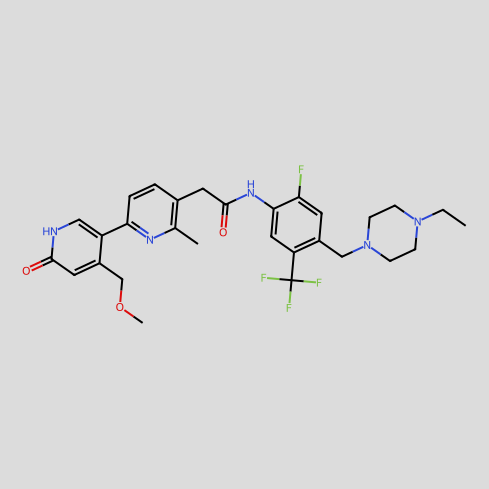 CCN1CCN(Cc2cc(F)c(NC(=O)Cc3ccc(-c4c[nH]c(=O)cc4COC)nc3C)cc2C(F)(F)F)CC1